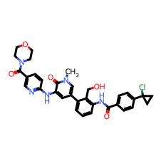 Cn1cc(-c2cccc(NC(=O)c3ccc(C4(Cl)CC4)cc3)c2CO)cc(Nc2ccc(C(=O)N3CCOCC3)cn2)c1=O